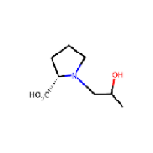 CC(O)CN1CCC[C@H]1C(=O)O